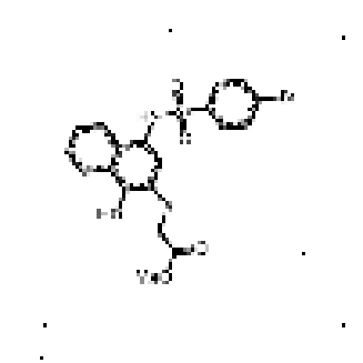 COC(=O)CSc1cc(NS(=O)(=O)c2ccc(Br)cc2)c2ccccc2c1O